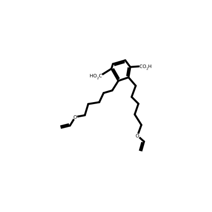 C=COCCCCCc1c(C(=O)O)ccc(C(=O)O)c1CCCCCOC=C